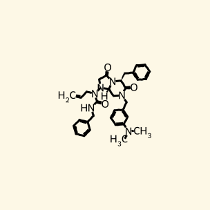 C=CCN(C(=O)NCc1ccccc1)N1CC(=O)N2[C@@H](Cc3ccccc3)C(=O)N(Cc3cccc(N(C)C)c3)C[C@@H]21